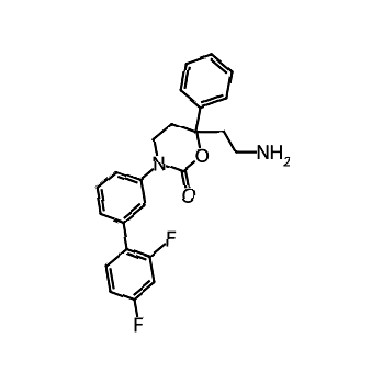 NCCC1(c2ccccc2)CCN(c2cccc(-c3ccc(F)cc3F)c2)C(=O)O1